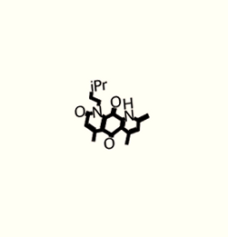 C=C1C=C(C)C2=C(N1)C(=O)c1c(c(C)cc(=O)n1CCC(C)C)C2=O